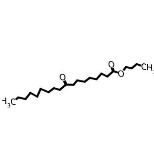 CCCCCCCCCC(=O)CCCCCCCC(=O)OCCCC